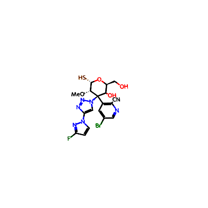 CO[C@@H]1[C@H](S)O[C@@H](CO)[C@@H](O)[C@@]1(c1cc(Br)cnc1C#N)n1cc(-n2ccc(F)n2)nn1